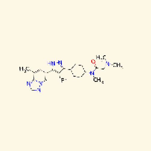 Cc1cc(-c2[nH]nc(C3CCC(N(C)C(=O)CN(C)C)CC3)c2C(C)C)cn2ncnc12